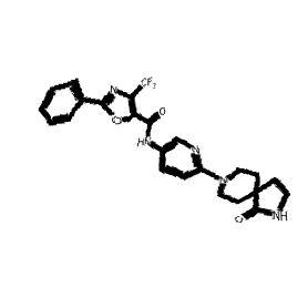 O=C(Nc1ccc(N2CCC3(CCNC3=O)CC2)nc1)c1oc(-c2ccccc2)nc1C(F)(F)F